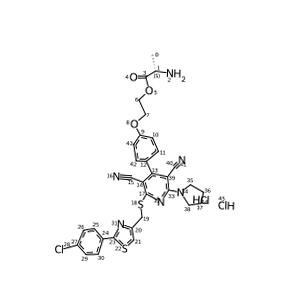 C[C@H](N)C(=O)OCCOc1ccc(-c2c(C#N)c(SCc3csc(-c4ccc(Cl)cc4)n3)nc(N3CCCC3)c2C#N)cc1.Cl.Cl